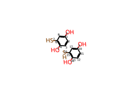 Oc1ccc(O)c(S)c1.Oc1ccc(O)c(S)c1